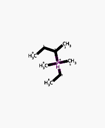 CCC(C)[PH](C)(C)CC